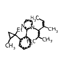 C/C=C(/C)C(=C(C)C)n1ccnc1-c1ccccc1C1(CC)CC1C